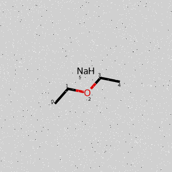 [CH2]COCC.[NaH]